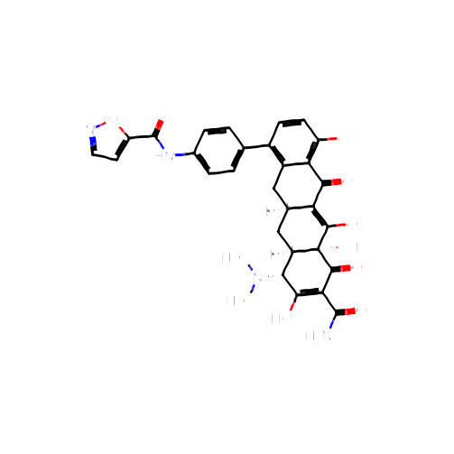 CN(C)[C@H]1C(O)=C(C(N)=O)C(=O)[C@]2(O)C(O)=C3C(=O)c4c(O)ccc(-c5ccc(NC(=O)c6ccno6)cc5)c4C[C@@H]3C[C@H]12